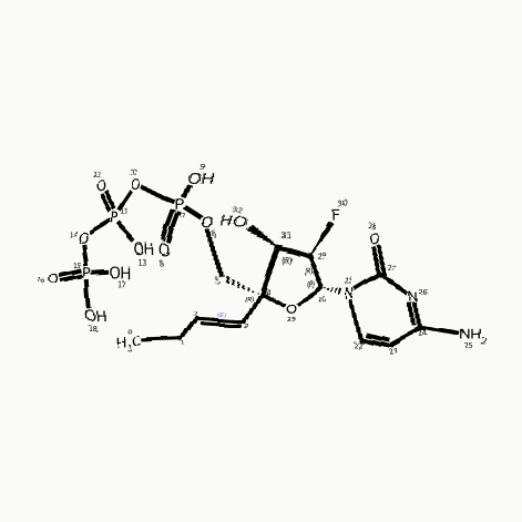 CC/C=C/[C@]1(COP(=O)(O)OP(=O)(O)OP(=O)(O)O)O[C@@H](n2ccc(N)nc2=O)[C@H](F)[C@@H]1O